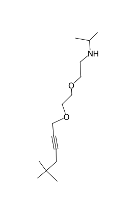 CC(C)NCCOCCOCC#CCC(C)(C)C